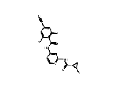 N#Cc1cc(F)c(C(=O)Nc2ccnc(NC(=O)[C@H]3C[C@H]3F)c2)c(Cl)c1